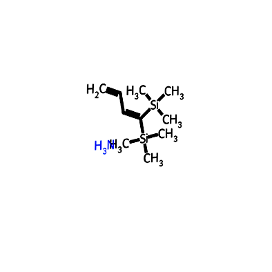 C=CC=C([Si](C)(C)C)[Si](C)(C)C.N